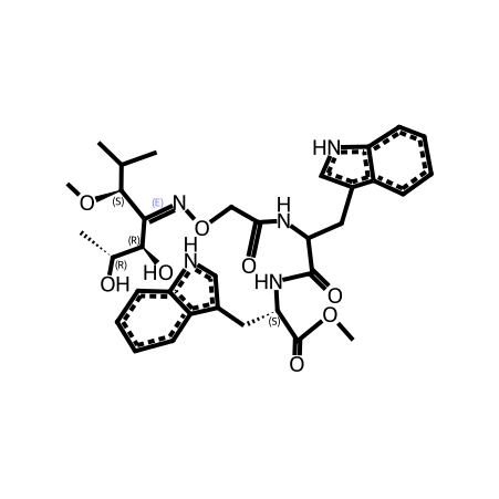 COC(=O)[C@H](Cc1c[nH]c2ccccc12)NC(=O)C(Cc1c[nH]c2ccccc12)NC(=O)CO/N=C(/[C@@H](OC)C(C)C)[C@@H](O)[C@@H](C)O